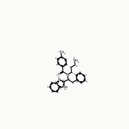 Cc1ccc(C(=O)N(CCCN)C(Cc2ccccc2)c2nc3ccccc3[nH]2)cc1